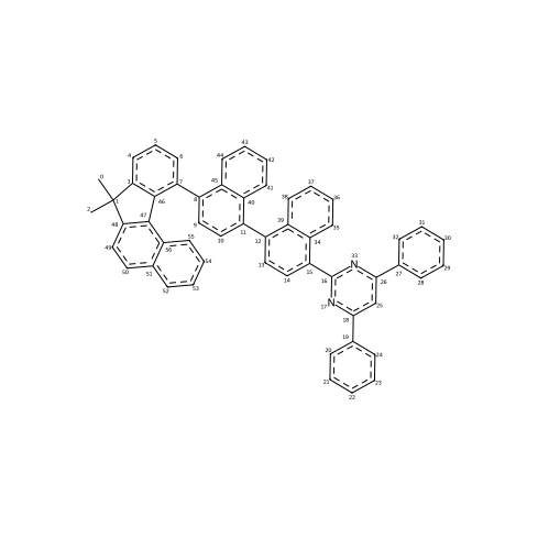 CC1(C)c2cccc(-c3ccc(-c4ccc(-c5nc(-c6ccccc6)cc(-c6ccccc6)n5)c5ccccc45)c4ccccc34)c2-c2c1ccc1ccccc21